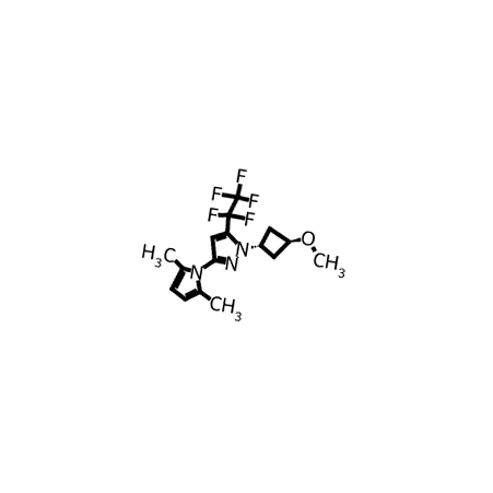 CO[C@H]1C[C@H](n2nc(-n3c(C)ccc3C)cc2C(F)(F)C(F)(F)F)C1